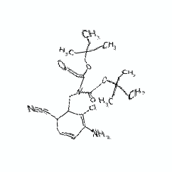 CC(C)(C)OC(=O)N(CC1C(Cl)=C(N)C=CC1C#N)C(=O)OC(C)(C)C